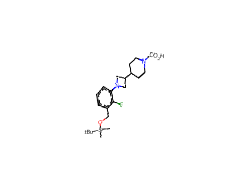 CC(C)(C)[Si](C)(C)OCc1cccc(N2CC(C3CCN(C(=O)O)CC3)C2)c1F